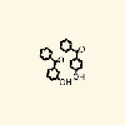 O=C(c1ccccc1)c1ccc(O)cc1.O=C(c1ccccc1)c1cccc(O)c1